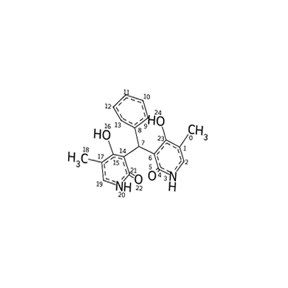 Cc1c[nH]c(=O)c(C(c2ccccc2)c2c(O)c(C)c[nH]c2=O)c1O